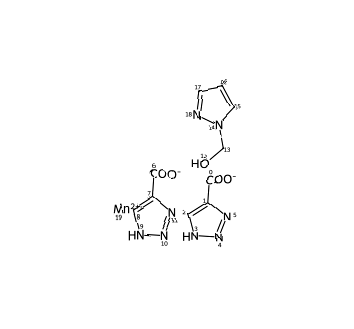 O=C([O-])c1c[nH]nn1.O=C([O-])c1c[nH]nn1.OCn1cccn1.[Mn+2]